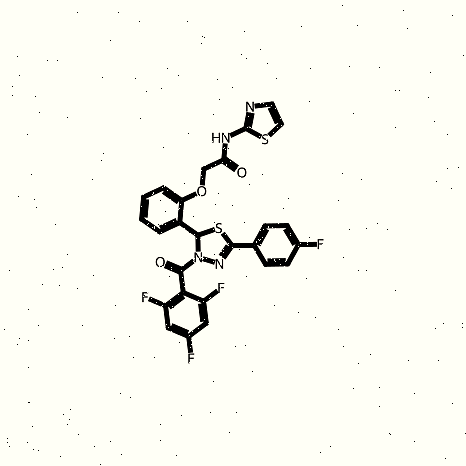 O=C(COc1ccccc1C1SC(c2ccc(F)cc2)=NN1C(=O)c1c(F)cc(F)cc1F)Nc1nccs1